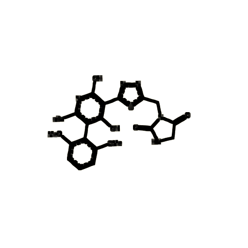 CCCCc1nc(O)c(-c2nnc(CN3C(=O)CNC3=O)o2)c(O)c1-c1c(OC)cccc1OC